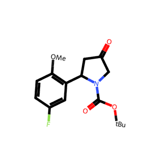 COc1ccc(F)cc1C1CC(=O)CN1C(=O)OC(C)(C)C